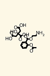 CC(=O)Oc1ccccc1C(=O)OCCN.O=C(O)CC(O)(CC(=O)O)C(=O)O